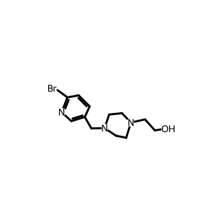 OCCN1CCN(Cc2ccc(Br)nc2)CC1